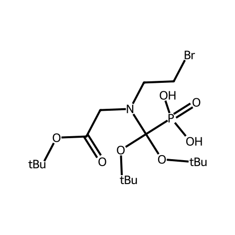 CC(C)(C)OC(=O)CN(CCBr)C(OC(C)(C)C)(OC(C)(C)C)P(=O)(O)O